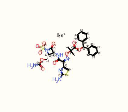 CC(C)(ON=C(C(=O)N[C@H]1C(=O)N(S(=O)(=O)[O-])[C@H]1COC(N)=O)c1csc(N)n1)C(=O)OC(c1ccccc1)c1ccccc1.[Na+]